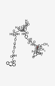 CCCC1O[C@@H]2C[C@H]3[C@@H]4C[C@H](F)C5=CC(=O)C=C[C@]5(C)[C@@]4(F)[C@@H](O)C[C@]3(C)[C@]2(C(=O)COCNC(=O)CNC(=O)OCc2ccc(NC(=O)[C@H](CCCNC(N)=O)NC(=O)[C@@H](NC(=O)CCC(NC(=O)CCOCCOCCOCCOCCNC(=O)CCC(=O)N3Cc4ccccc4C#Cc4ccccc43)C(=O)O)C(C)C)cc2)O1